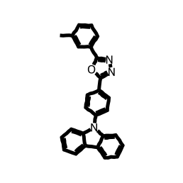 Cc1cccc(-c2nnc(-c3ccc(-n4c5ccccc5c5ccccc54)cc3)o2)c1